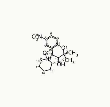 CC1(C)Oc2ccc([N+](=O)[O-])cc2C([N+]2([O-])CCCCS2)C1O